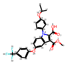 COC(=O)c1c(C(=O)O)n(-c2ccc(OC(C)C)cc2)c2ccc(Oc3ccc(C(F)(F)F)cc3)cc12